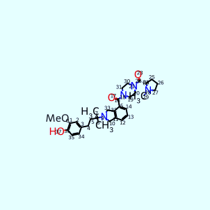 COc1cc(CCC(C)(C)N2Cc3cccc(C(=O)N4CCN(C(=O)[C@@H]5CCCN5C)CC4)c3C2)ccc1O